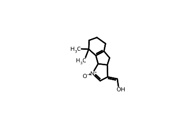 CC1(C)CCCC2=C1C1C(C2)C(=CO)C=[N+]1[O-]